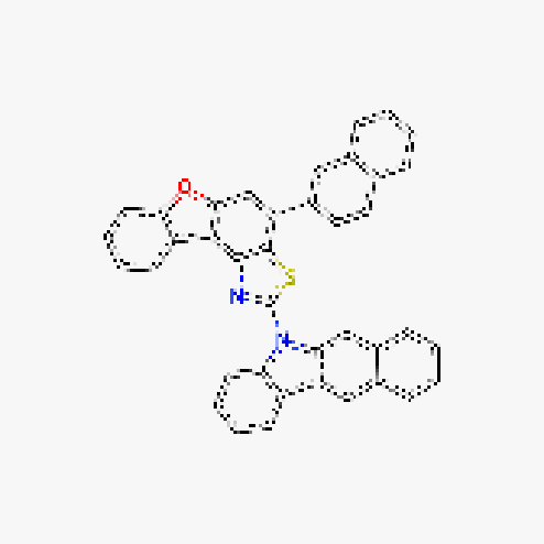 c1ccc2cc(-c3cc4oc5ccccc5c4c4nc(-n5c6ccccc6c6cc7ccccc7cc65)sc34)ccc2c1